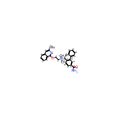 CCCCc1cc2ccccc2c(OCC[N+](C)(C)[C@@H](c2ccc(C(N)=O)cc2-c2ccccc2)C(C)C)n1